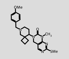 COc1ccc(CN2CCC(N3Cc4cnc(SC)nc4N(C)C3=O)C3(CCC3)C2)cc1